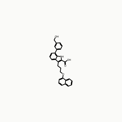 O=C(O)c1[nH]c2c(-c3cccc(CO)c3)cccc2c1CCCOc1cccc2ccccc12